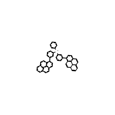 O=P(c1ccccc1)(c1cccc(-c2ccc3c4c2C=CC2C=CC=C(C=C3)C42)c1)c1cccc(-c2ccc3ccc4cccc5ccc2c3c45)c1